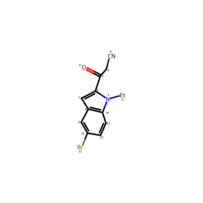 CCn1c(C(=O)CC#N)cc2cc(Br)ccc21